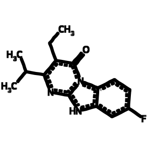 CCc1c(C(C)C)nc2[nH]c3cc(F)ccc3n2c1=O